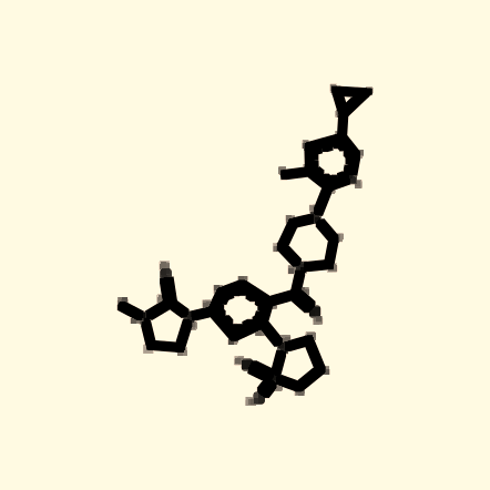 Cc1cc(C2CC2)cnc1N1CCN(C(=O)c2ccc(N3CCN(C)C3=O)cc2N2CCCS2(=O)=O)CC1